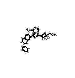 Nc1nccn2c(C3CC(O)(CO)C3)nc(-c3ccc4c(c3)O[C@@H](c3ccccc3)CC4)c12